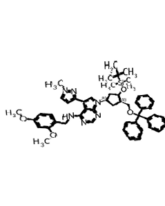 COc1ccc(CNc2ncnc3c2c(-c2ccn(C)n2)cn3[C@H]2CC(O[Si](C)(C)C(C)(C)C)[C@@H](COC(c3ccccc3)(c3ccccc3)c3ccccc3)C2)c(OC)c1